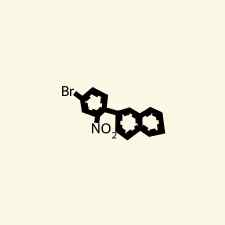 O=[N+]([O-])c1cc(Br)ccc1-c1ccc2ccccc2c1